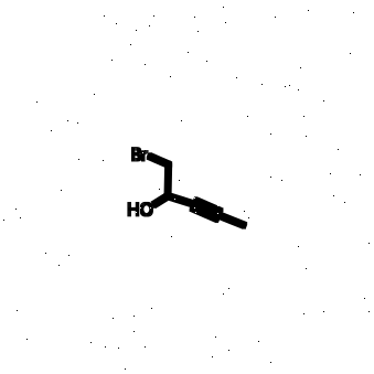 CC#CC(O)CBr